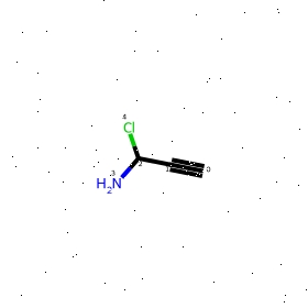 C#CC(N)Cl